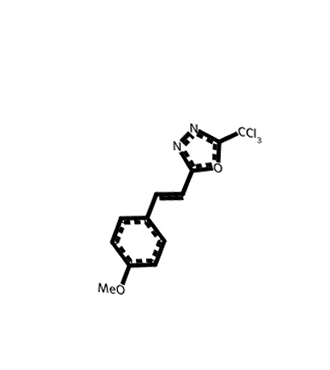 COc1ccc(C=Cc2nnc(C(Cl)(Cl)Cl)o2)cc1